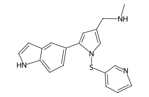 CNCc1cc(-c2ccc3[nH]ccc3c2)n(Sc2cccnc2)c1